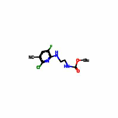 CC(C)(C)OC(=O)NCCNc1nc(Cl)c(C#N)cc1F